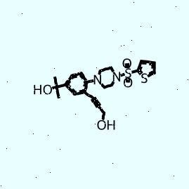 CC(C)(O)c1ccc(N2CCN(S(=O)(=O)c3cccs3)CC2)c(C#CCO)c1